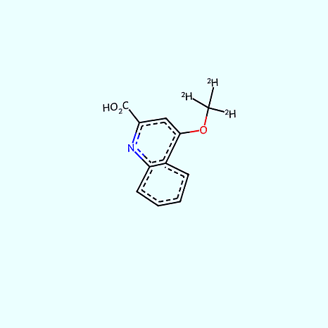 [2H]C([2H])([2H])Oc1cc(C(=O)O)nc2ccccc12